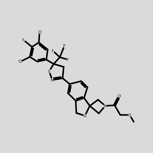 COCC(=O)N1CC2(C1)OCc1cc(C3=NSC(c4cc(Cl)c(F)c(Cl)c4)(C(F)(F)F)C3)ccc12